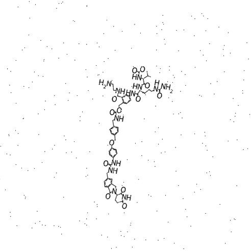 COC(=O)N[C@H](C(=O)N[C@@H](CCCNC(N)=O)C(=O)Nc1ccc(COC(=O)NCc2ccc(COc3ccc(NC(=O)NCc4ccc5c(c4)CN(C4CCC(=O)NC4=O)C5=O)cc3)cc2)c(C(=O)NCCN)c1)C(C)C